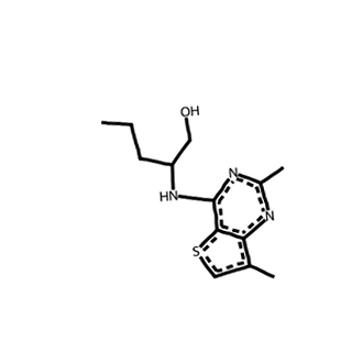 CCCC(CO)Nc1nc(C)nc2c(C)csc12